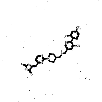 N#Cc1cc(CNCC2CCN(c3nccc(/C=C4\SC(=O)NC4=O)n3)CC2)cnc1-c1ccc(C(F)(F)F)cc1C(F)(F)F